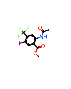 COC(=O)c1cc(I)c(C(F)(F)F)cc1NC(C)=O